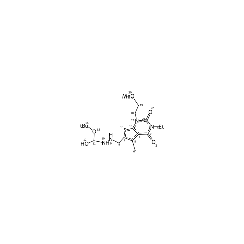 CCn1c(=O)c2c(C)c(CNNC(O)OC(C)(C)C)sc2n(CCOC)c1=O